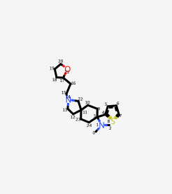 CN(C)C1(c2cccs2)CCC2(CCN(CCC3CCCO3)C2)CC1